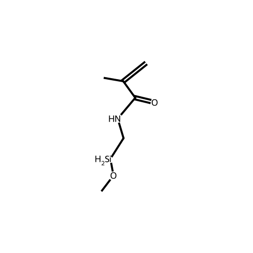 C=C(C)C(=O)NC[SiH2]OC